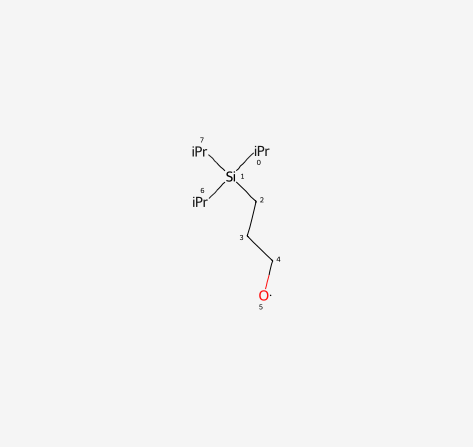 CC(C)[Si](CCC[O])(C(C)C)C(C)C